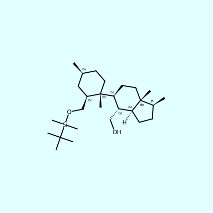 C[C@H]1CC[C@](C)([C@H]2CC[C@]3(C)[C@@H](C)CC[C@H]3[C@@H]2CO)[C@@H](CO[Si](C)(C)C(C)(C)C)C1